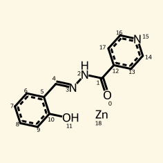 O=C(NN=Cc1ccccc1O)c1ccncc1.[Zn]